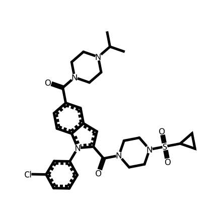 CC(C)N1CCN(C(=O)c2ccc3c(c2)cc(C(=O)N2CCN(S(=O)(=O)C4CC4)CC2)n3-c2cccc(Cl)c2)CC1